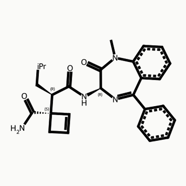 CC(C)C[C@@H](C(=O)N[C@@H]1N=C(c2ccccc2)c2ccccc2N(C)C1=O)[C@@]1(C(N)=O)C=CC1